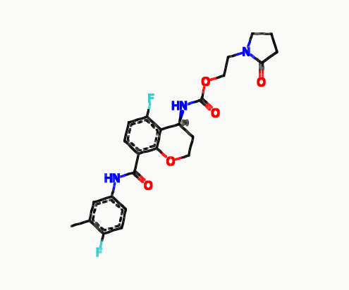 Cc1cc(NC(=O)c2ccc(F)c3c2OCC[C@@H]3NC(=O)OCCN2CCCC2=O)ccc1F